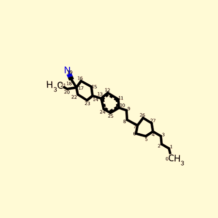 CCCCC1CCC(CCc2ccc(C3CCC(C#N)(CC)CC3)cc2)CC1